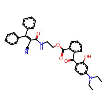 CCN(CC)c1ccc(C(=O)c2ccccc2C(=O)OCCNC(=O)C(C#N)=C(c2ccccc2)c2ccccc2)c(O)c1